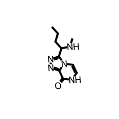 CCCC(NC)c1nnc2c(=O)[nH]ccn12